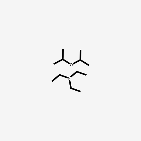 CC(C)OC(C)C.CCN(CC)CC